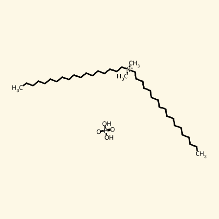 CCCCCCCCCCCCCCCCCC[N+](C)(C)CCCCCCCCCCCCCCCCCC.O=P([O-])(O)O